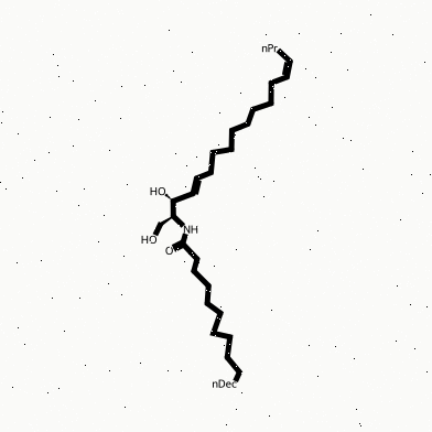 CCC/C=C\CCCCCCCC/C=C/[C@@H](O)[C@H](CO)NC(=O)CCCCCCCCCCCCCCCCCCC